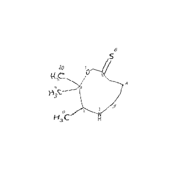 CC1NCCC(=S)OC1(C)C